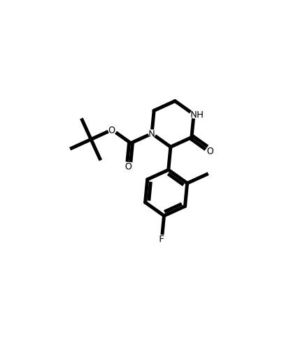 Cc1cc(F)ccc1C1C(=O)NCCN1C(=O)OC(C)(C)C